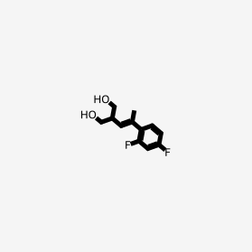 CC(=CC(CO)CO)c1ccc(F)cc1F